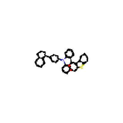 c1ccc(N(c2ccc(-c3cccc4ccccc34)cc2)c2ccccc2-c2cccc3sc4ccccc4c23)cc1